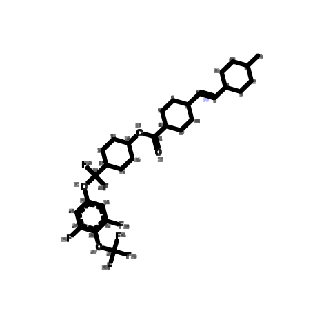 CC1CCC(/C=C/C2CCC(C(=O)OC3CCC(C(F)(F)Oc4cc(F)c(OC(F)(F)F)c(F)c4)CC3)CC2)CC1